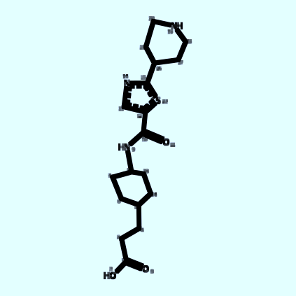 O=C(O)CCC1CCC(NC(=O)c2cnc(C3CCNCC3)s2)CC1